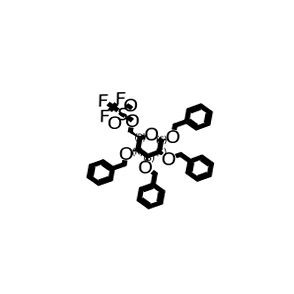 O=S(=O)(OC[C@H]1O[C@H](OCc2ccccc2)[C@@H](OCc2ccccc2)[C@@H](OCc2ccccc2)[C@@H]1OCc1ccccc1)C(F)(F)F